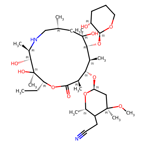 CC[C@H]1OC(=O)[C@H](C)[C@@H](O[C@H]2C[C@@](C)(OC)C(CC#N)[C@H](C)O2)[C@H](C)[C@@H](O[C@@H]2OCCC[C@H]2O)[C@](C)(O)C[C@@H](C)CN[C@H](C)[C@@H](O)[C@]1(C)O